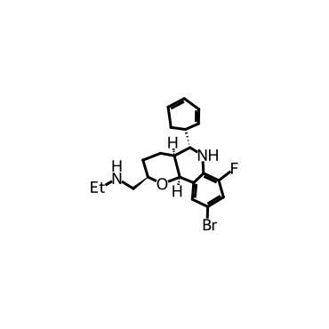 CCNC[C@H]1CC[C@@H]2[C@H](O1)c1cc(Br)cc(F)c1N[C@H]2C1C=CC=CC1